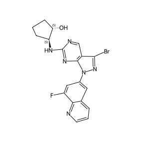 O[C@H]1CCC[C@@H]1Nc1ncc2c(Br)nn(-c3cc(F)c4ncccc4c3)c2n1